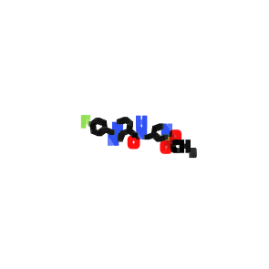 CS(=O)(=O)c1cc(CNC(=O)c2cccn3c(-c4ccc(F)cc4)ncc23)ccn1